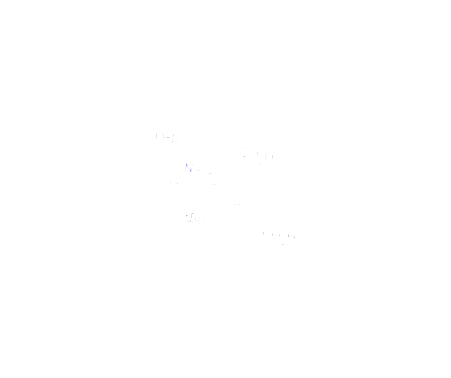 CC(C)(C)ON(C=O)[C@@H](CCC(=O)O)C(=O)O